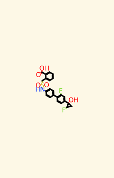 O=C(O)c1ccccc1CS(=O)(=O)Nc1ccc(-c2ccc(C3(O)CC3F)cc2F)cc1